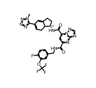 Cn1nnnc1C1=CCC2C(=C1)CC[C@@H]2NC(=O)c1cc(C(=O)NCc2ccc(F)c(OC(F)(F)F)c2)nc2ncnn12